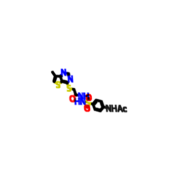 CC(=O)Nc1ccc(S(=O)(=O)NNC(=O)CSc2ncnc3c(C)csc23)cc1